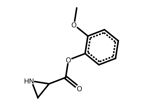 COc1ccccc1OC(=O)C1CN1